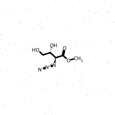 COC(=O)[C@@H](N=[N+]=[N-])[C@@H](O)CO